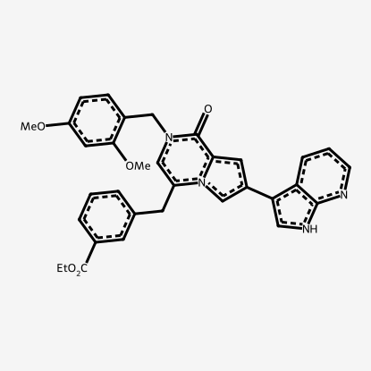 CCOC(=O)c1cccc(Cc2cn(Cc3ccc(OC)cc3OC)c(=O)c3cc(-c4c[nH]c5ncccc45)cn23)c1